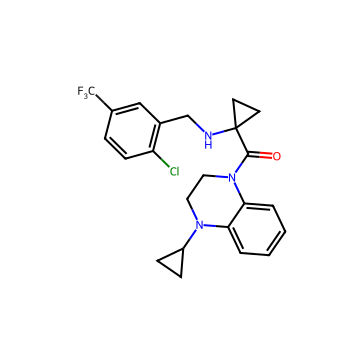 O=C(N1CCN(C2CC2)c2ccccc21)C1(NCc2cc(C(F)(F)F)ccc2Cl)CC1